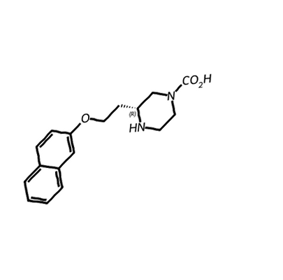 O=C(O)N1CCN[C@H](CCOc2ccc3ccccc3c2)C1